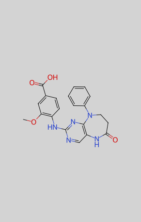 COc1cc(C(=O)O)ccc1Nc1ncc2c(n1)N(c1ccccc1)CCC(=O)N2